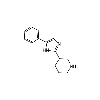 c1ccc(-c2cnc(C3CCCNC3)[nH]2)cc1